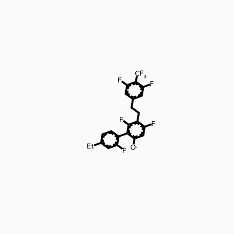 CCc1ccc(-c2c([O])cc(F)c(CCc3cc(F)c(C(F)(F)F)c(F)c3)c2F)c(F)c1